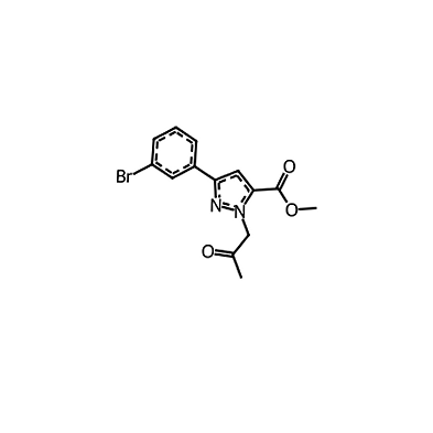 COC(=O)c1cc(-c2cccc(Br)c2)nn1CC(C)=O